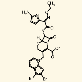 CCO/N=C(/C(=O)NC1C(=O)N2C(C(=O)[O-])=C(C[n+]3cccc4c(Br)c(Br)sc43)CS[C@H]12)c1csc(N)n1